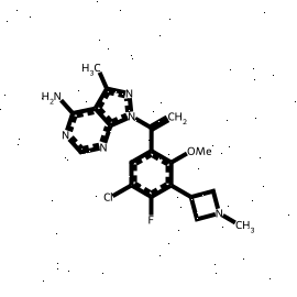 C=C(c1cc(Cl)c(F)c(C2CN(C)C2)c1OC)n1nc(C)c2c(N)ncnc21